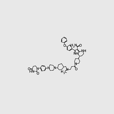 CN(CCC(=O)N1CCC([C@@H]2CCNc3c(C(N)=O)c(-c4ccc(Oc5ccccc5)cc4)nn32)CC1)CC1CCC(N2CCN(c3ccc(N4CCC(=O)NC4=O)cc3)CC2)CC1